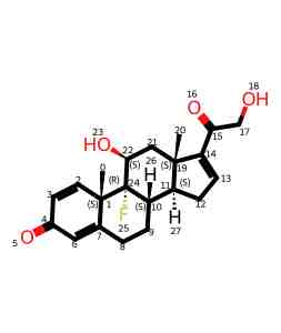 C[C@]12C=CC(=O)C=C1CC[C@H]1[C@@H]3CC=C(C(=O)CO)[C@@]3(C)C[C@H](O)[C@@]12F